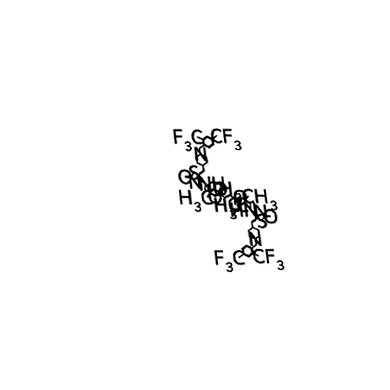 CC(C)(CNC1=NC(=O)SC1=CC1CCN(Cc2ccc(C(F)(F)F)cc2C(F)(F)F)CC1)OC(=O)/C=C/C(=O)OC(C)(C)CNC1=NC(=O)SC1=CC1CCN(Cc2ccc(C(F)(F)F)cc2C(F)(F)F)CC1